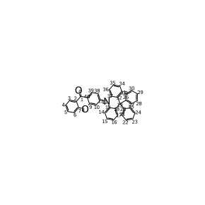 O=c1c2ccccc2oc2cc(N3c4ccccc4C(c4ccccc4)(c4ccccc4)c4ccccc43)ccc12